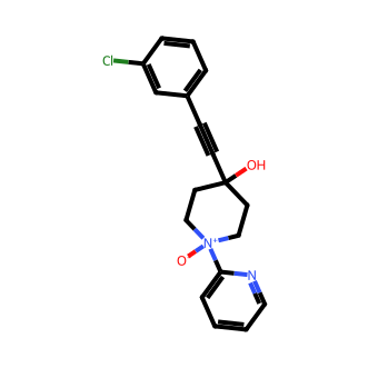 [O-][N+]1(c2ccccn2)CCC(O)(C#Cc2cccc(Cl)c2)CC1